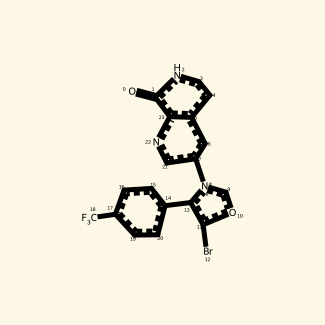 O=c1[nH]ccc2cc(-[n+]3coc(Br)c3-c3ccc(C(F)(F)F)cc3)cnc12